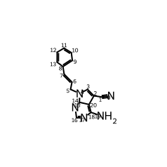 N#Cc1cn(CC=Cc2ccccc2)c2ncnc(N)c12